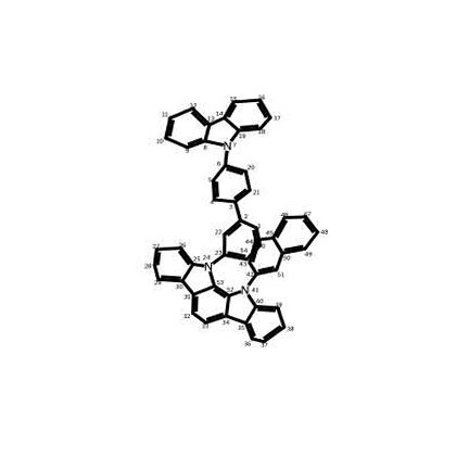 c1cc(-c2ccc(-n3c4ccccc4c4ccccc43)cc2)cc(-n2c3ccccc3c3ccc4c5ccccc5n(-c5ccc6ccccc6c5)c4c32)c1